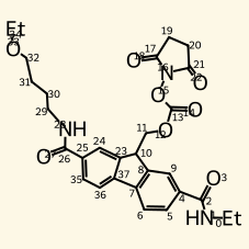 CCNC(=O)c1ccc2c(c1)C(COC(=O)ON1C(=O)CCC1=O)c1cc(C(=O)NCCCCOCC)ccc1-2